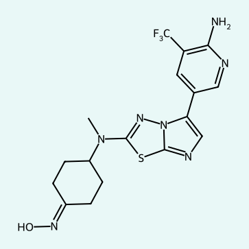 CN(c1nn2c(-c3cnc(N)c(C(F)(F)F)c3)cnc2s1)C1CCC(=NO)CC1